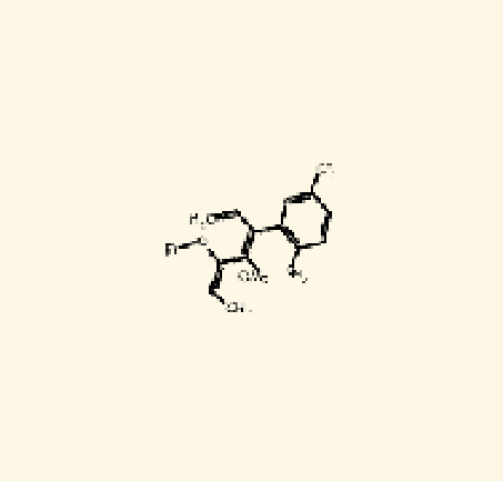 C=C/C(=C(OC)\C(=C/C)OCC)c1cc(C(F)(F)F)ccc1N